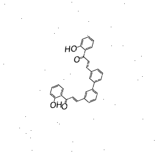 O=C(C=Cc1cccc(-c2cccc(C=CC(=O)c3ccccc3O)c2)c1)c1ccccc1O